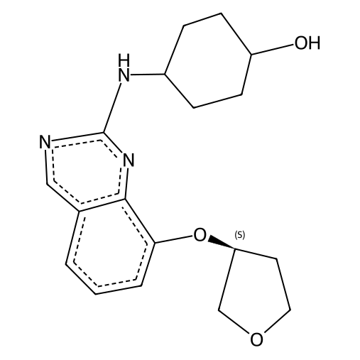 OC1CCC(Nc2ncc3cccc(O[C@H]4CCOC4)c3n2)CC1